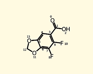 O=C(O)c1cc2c(c(F)c1F)OCO2